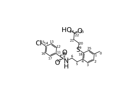 Cc1ccc(CCNS(=O)(=O)c2ccc(Cl)cc2)c(SCCC(=O)O)c1